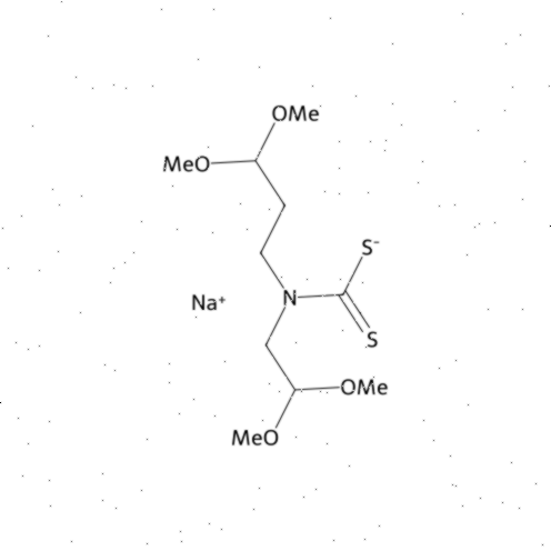 COC(CCN(CC(OC)OC)C(=S)[S-])OC.[Na+]